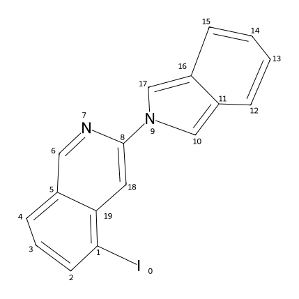 Ic1cccc2cnc(-n3cc4ccccc4c3)cc12